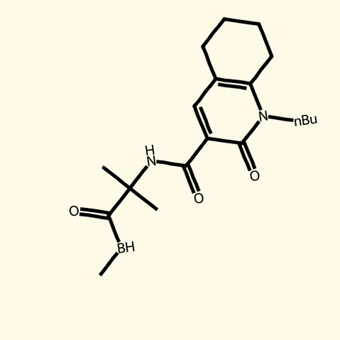 CBC(=O)C(C)(C)NC(=O)c1cc2c(n(CCCC)c1=O)CCCC2